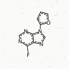 Fc1ncnc2c1ncn2-c1ccco1